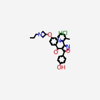 CCCN1CC(Oc2ccc(C(=O)c3c(-c4ncccc4C)noc3-c3ccc(O)cc3)cc2)C1.Cl